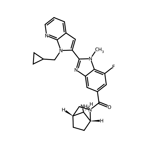 Cn1c(-c2cc3cccnc3n2CC2CC2)nc2cc(C(=O)N3C[C@H]4CC[C@@H]3[C@@H]4N)cc(F)c21